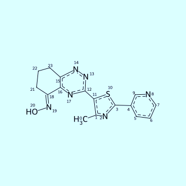 Cc1nc(-c2cccnc2)sc1-c1nnc2c(n1)/C(=N/O)CCC2